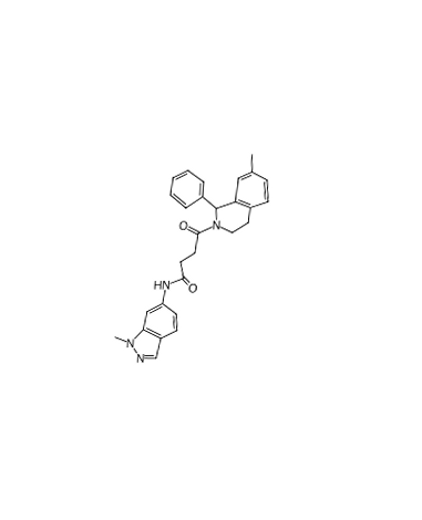 Cc1ccc2c(c1)C(c1ccccc1)N(C(=O)CCC(=O)Nc1ccc3cnn(C)c3c1)CC2